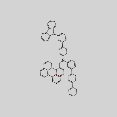 c1ccc(-c2ccc(-c3cccc(N(Cc4ccccc4-c4cccc5cccc(-c6ccccc6)c45)c4ccc(-c5cccc(-n6c7ccccc7c7ccccc76)c5)cc4)c3)cc2)cc1